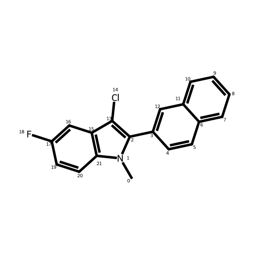 Cn1c(-c2ccc3ccccc3c2)c(Cl)c2cc(F)ccc21